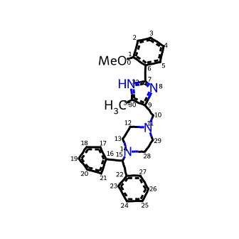 COc1ccccc1-c1nc(CN2CCN(C(c3ccccc3)c3ccccc3)CC2)c(C)[nH]1